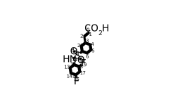 O=C(O)C=Cc1cccc(S(=O)(=O)Nc2ccc(F)cc2F)c1